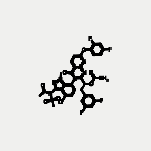 CC(=O)N(c1nn(C)c2c(-n3c([C@H](Cc4cc(F)cc(F)c4)OC(N)=O)nc4nc(Oc5ccc(F)cc5F)ccc4c3=O)ccc(Cl)c12)S(C)(=O)=O